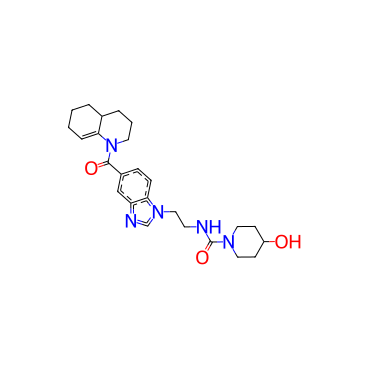 O=C(NCCn1cnc2cc(C(=O)N3CCCC4CCCC=C43)ccc21)N1CCC(O)CC1